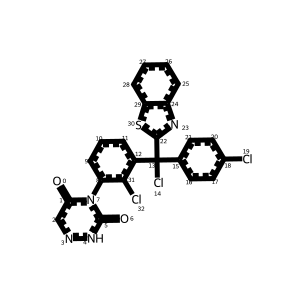 O=c1cn[nH]c(=O)n1-c1cccc(C(Cl)(c2ccc(Cl)cc2)c2nc3ccccc3s2)c1Cl